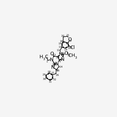 CCN1C(=O)c2c(nc(OC)n2Cc2cc(Cl)c3c(c2)CCO3)N2C[C@@H](Cc3ccccc3)N=C12